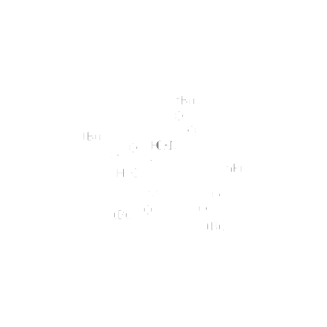 CCCC(C#COOC(C)(C)C)(CC(C)(CCC(C)(C)OOC(C)(C)C)OOC(C)(C)C)OOC(C)(C)C